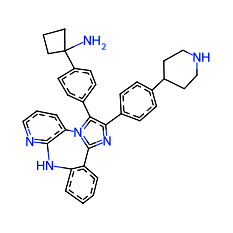 NC1(c2ccc(-c3c(-c4ccc(C5CCNCC5)cc4)nc4n3-c3cccnc3Nc3ccccc3-4)cc2)CCC1